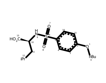 CCCCOc1ccc(S(=O)(=O)N[C@@H](CC(C)C)C(=O)O)cc1